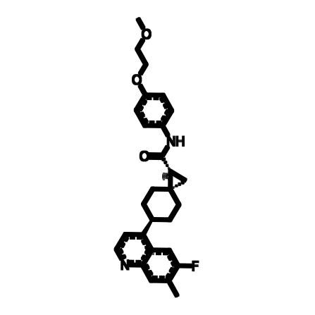 COCCOc1ccc(NC(=O)[C@@H]2C[C@]23CC[C@H](c2ccnc4cc(C)c(F)cc42)CC3)cc1